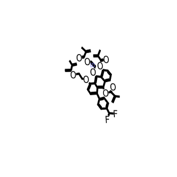 C=C(C)C(=C)OCCOc1ccc(-c2ccc(C(F)F)cc2)c2c(OC(=O)C(=C)C)c3cccc(OC(=O)C(=C)C)c3c(O/C=C\OC(=O)C(=C)C)c12